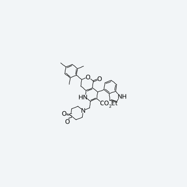 CCOC(=O)C1=C(CN2CCS(=O)(=O)CC2)NC2=C(C(=O)OC(c3c(C)cc(C)cc3C)C2)C1c1cccc2[nH]ccc12